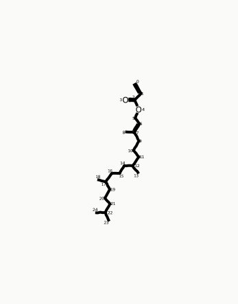 C=CC(=O)OC/C=C(\C)CCCC(C)CCCC(C)CCCC(C)C